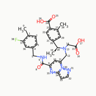 Cc1ccc(CNC(=O)c2cc(CN(CC(=O)O)[C@@H](C)c3ccc(C(=O)O)c(C)c3)n3nccc3n2)cc1F